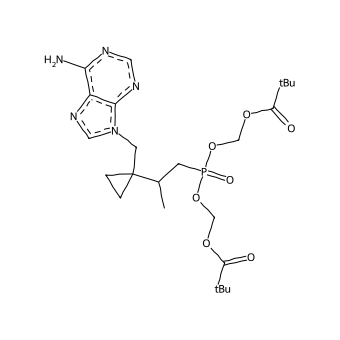 CC(CP(=O)(OCOC(=O)C(C)(C)C)OCOC(=O)C(C)(C)C)C1(Cn2cnc3c(N)ncnc32)CC1